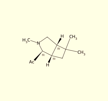 CC(=O)[C@@H]1[C@H]2CC(C)(C)[C@H]2CN1C